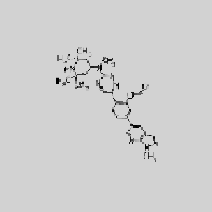 CN(c1ncc(-c2ccc(-c3cnc4c(cnn4C)c3)cc2OC=O)nn1)C1CC(C)(C)NC(C)(C)C1